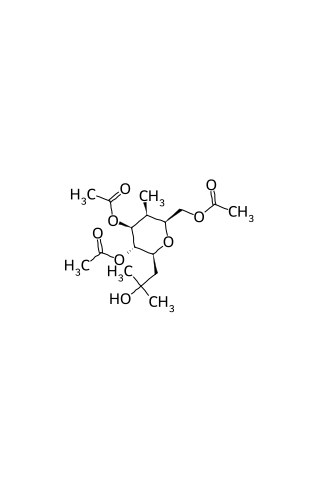 CC(=O)OC[C@H]1O[C@@H](CC(C)(C)O)[C@H](OC(C)=O)[C@@H](OC(C)=O)[C@H]1C